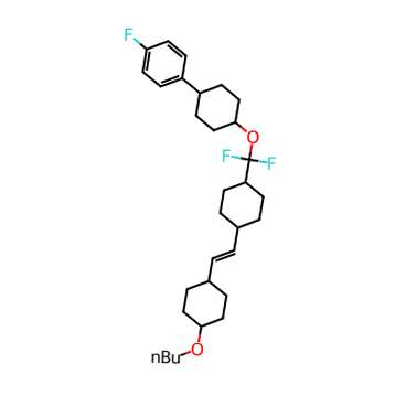 CCCCOC1CCC(/C=C/C2CCC(C(F)(F)OC3CCC(c4ccc(F)cc4)CC3)CC2)CC1